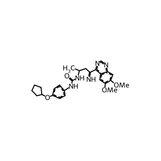 COc1cc2ncnc(C(=N)CC(C)NC(=O)Nc3ccc(OC4CCCC4)cc3)c2cc1OC